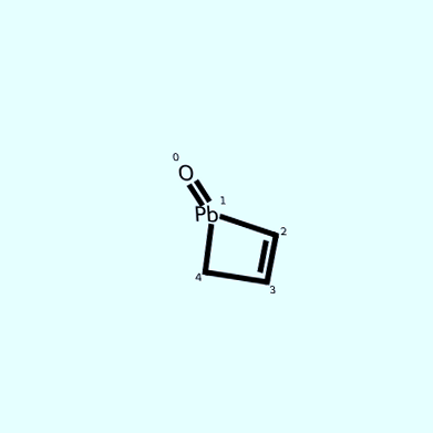 [O]=[Pb]1[CH]=C[CH2]1